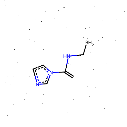 BCNC(=C)n1ccnc1